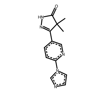 CC1(C)C(=O)NN=C1c1ccc(-n2ccnc2)nc1